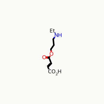 CCNCCCOC(=O)C=CC(=O)O